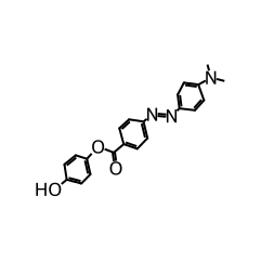 CN(C)c1ccc(N=Nc2ccc(C(=O)Oc3ccc(O)cc3)cc2)cc1